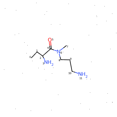 CCC(N)C(=O)N(C)CCCN